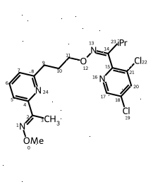 CO/N=C(\C)c1cccc(CCCON=C(c2ncc(Cl)cc2Cl)C(C)C)n1